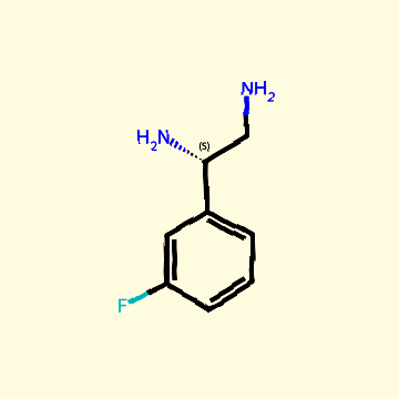 NC[C@@H](N)c1cccc(F)c1